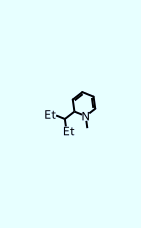 CCC(CC)C1C=CC=CN1C